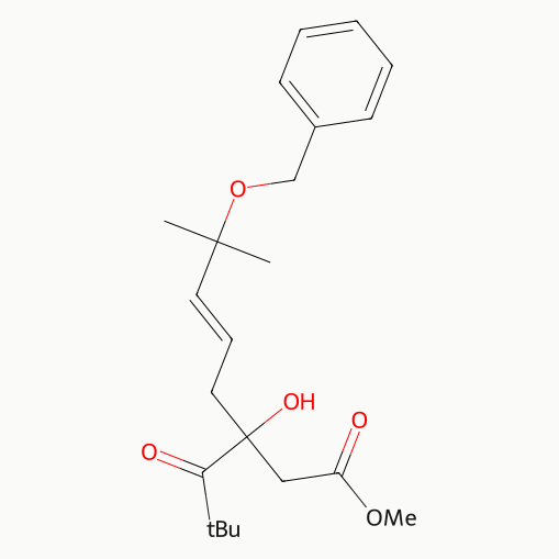 COC(=O)CC(O)(C/C=C/C(C)(C)OCc1ccccc1)C(=O)C(C)(C)C